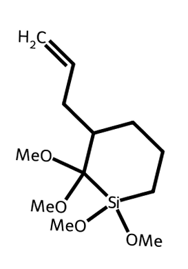 C=CCC1CCC[Si](OC)(OC)C1(OC)OC